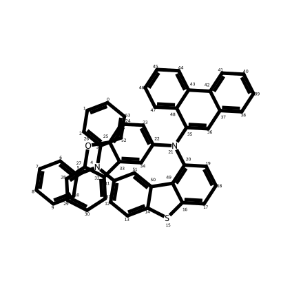 c1ccc(N(c2ccccc2)c2ccc3sc4cccc(N(c5ccc6oc7ccccc7c6c5)c5cc6ccccc6c6ccccc56)c4c3c2)cc1